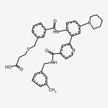 Cc1cccc(CNC(=O)c2ccnc(-c3cc(N4CCCCC4)ccc3NC(=O)c3cccc(CSCCC(=O)O)c3)c2)c1